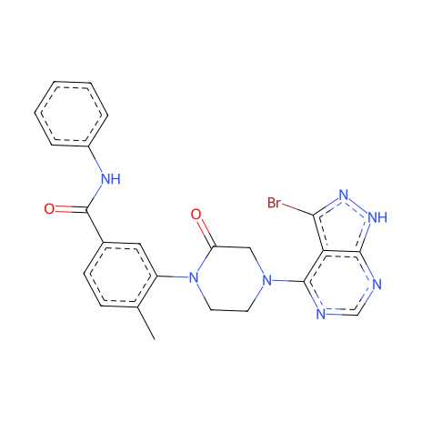 Cc1ccc(C(=O)Nc2ccccc2)cc1N1CCN(c2ncnc3[nH]nc(Br)c23)CC1=O